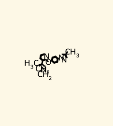 C=C/N=C\C(=C(C)C)c1cccnc1Oc1ccc(-n2cc(C)cn2)cc1